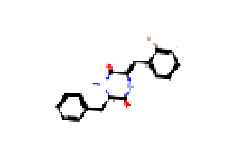 CC(=O)N1C(=O)C(=Cc2ccccc2Br)NC(=O)C1Cc1ccccc1